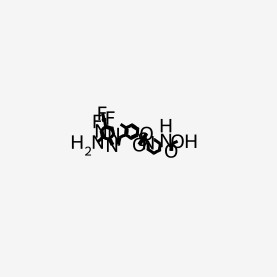 Cc1ccc(S(=O)(=O)N2CCCC(NC(=O)O)C2)cc1-c1cnc2c(N)nc(C(F)(F)F)cn12